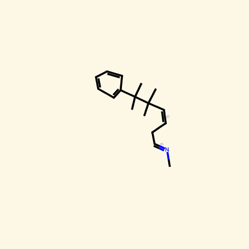 C/N=C/C/C=C\C(C)(C)C(C)(C)c1ccccc1